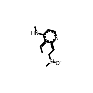 C/C=c1/c(NC)ccn/c1=C/C[S+](C)[O-]